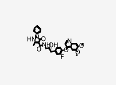 COc1cc2nccc(Oc3ccc(C[C@H](O)CNC(=O)c4c(C)[nH]n(-c5ccccc5)c4=O)cc3F)c2cc1OC